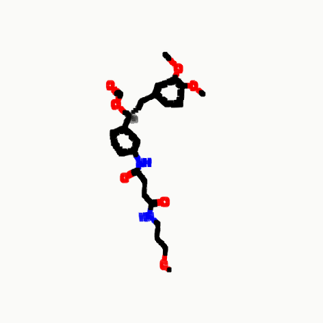 COCCCNC(=O)CCC(=O)Nc1cccc([C@@H](CCc2ccc(OC)c(OC)c2)OC=O)c1